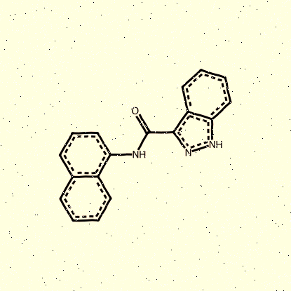 O=C(Nc1cccc2ccccc12)c1n[nH]c2ccccc12